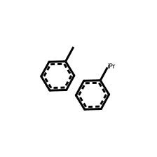 CC(C)c1ccccc1.Cc1ccccc1